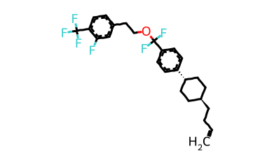 C=CCC[C@H]1CC[C@H](c2ccc(C(F)(F)OCCc3ccc(C(F)(F)F)c(F)c3)cc2)CC1